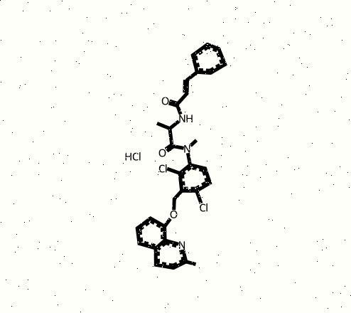 Cc1ccc2cccc(OCc3c(Cl)ccc(N(C)C(=O)C(C)NC(=O)C=Cc4ccccc4)c3Cl)c2n1.Cl